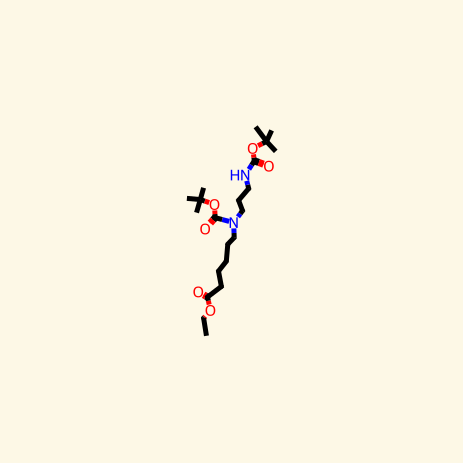 CCOC(=O)CCCCCN(CCCNC(=O)OC(C)(C)C)C(=O)OC(C)(C)C